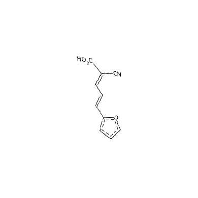 N#C/C(=C\C=C\c1ccco1)C(=O)O